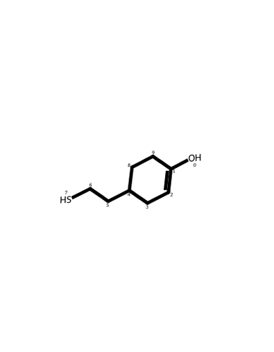 OC1=CCC(CCS)CC1